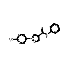 O=C(Nc1ccccc1)c1cnn(-c2cnc(C(F)(F)F)nc2)c1